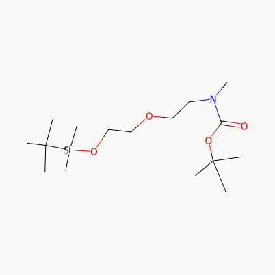 CN(CCOCCO[Si](C)(C)C(C)(C)C)C(=O)OC(C)(C)C